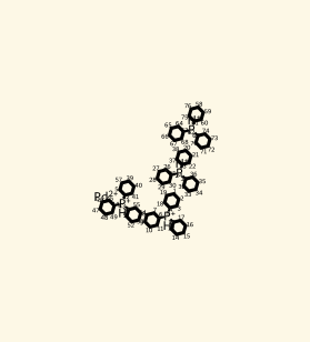 [Pd+2].c1ccc([PH+](c2ccccc2)c2ccccc2)cc1.c1ccc([PH+](c2ccccc2)c2ccccc2)cc1.c1ccc([PH+](c2ccccc2)c2ccccc2)cc1.c1ccc([PH+](c2ccccc2)c2ccccc2)cc1